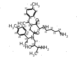 Cc1ccc(C(C)N(CC(=O)N(CC(O)C(C)N)[C@@H](C)c2ccc(C)cc2)C(=O)CNCCCCN)cc1